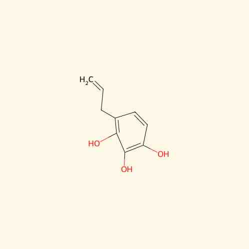 C=CCc1ccc(O)c(O)c1O